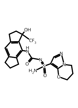 NS(=O)(=NC(=O)Nc1c2c(cc3c1C(O)(C(F)(F)F)CC3)CCC2)c1cnn2c1OCCC2